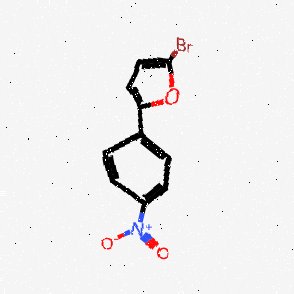 O=[N+]([O-])c1ccc(-c2ccc(Br)o2)cc1